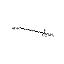 CCCCCCCCCCCCCCCCCCCCCCCCCCCC(=O)NC(=O)CN